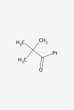 CC(C)(C)[C](=O)[Pt]